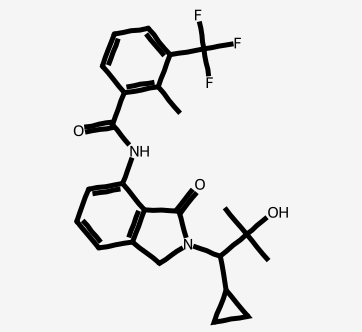 Cc1c(C(=O)Nc2cccc3c2C(=O)N(C(C2CC2)C(C)(C)O)C3)cccc1C(F)(F)F